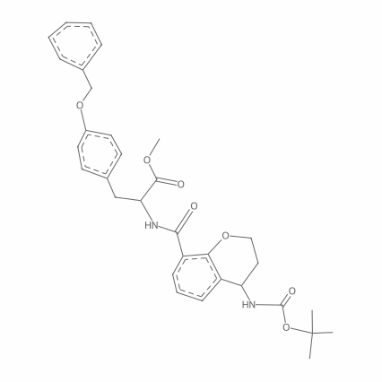 COC(=O)C(Cc1ccc(OCc2ccccc2)cc1)NC(=O)c1cccc2c1OCCC2NC(=O)OC(C)(C)C